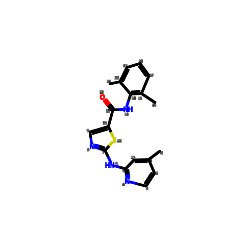 Cc1ccnc(Nc2ncc(C(=O)Nc3c(C)cccc3C)s2)c1